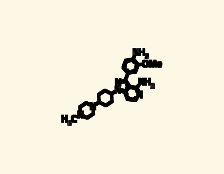 COc1cc(-c2nn(C3CCC(N4CCN(C)CC4)CC3)c3ccnc(N)c23)ccc1N